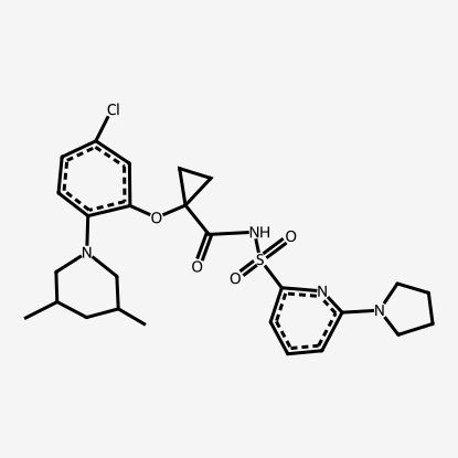 CC1CC(C)CN(c2ccc(Cl)cc2OC2(C(=O)NS(=O)(=O)c3cccc(N4CCCC4)n3)CC2)C1